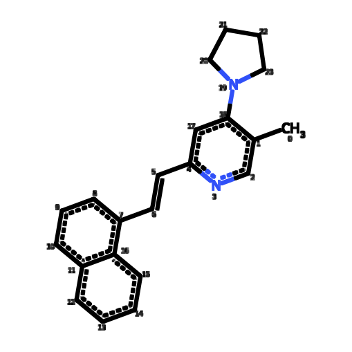 Cc1cnc(C=Cc2cccc3ccccc23)cc1N1CCCC1